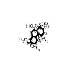 C=CC1(C)C=C2CCC3[C@](C)(CCC[C@@]3(C)C(=O)O)C2CC1